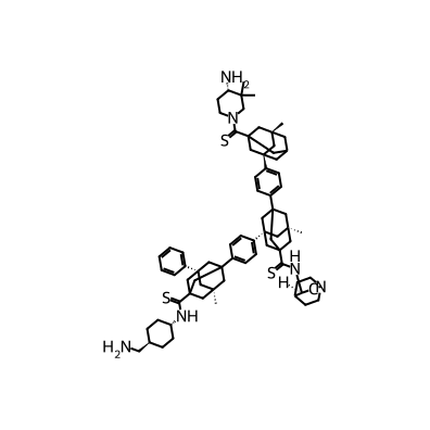 CC1(C)CN(C(=S)C23CC4C[C@@](C)(C2)C[C@](c2ccc(C56CC7(C(=S)N[C@H]8CN9CCC8CC9)C[C@](C)(C5)C[C@@](c5ccc(C89CC%10(C(=S)N[C@H]%11CC[C@H](CN)CC%11)C[C@](C)(C8)C[C@@](c8ccccc8)(C%10)C9)cc5)(C7)C6)cc2)(C4)C3)CC[C@@H]1N